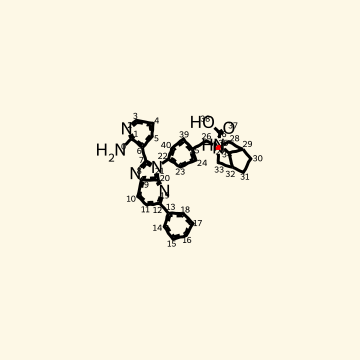 Nc1ncccc1-c1nc2ccc(-c3ccccc3)nc2n1-c1ccc(CN2CC3CCC(C2)C3NC(=O)O)cc1